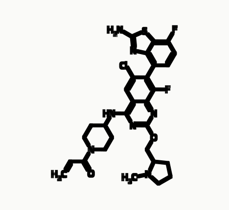 C=CC(=O)N1CCC(Nc2nc(OCC3CCCN3C)nc3c(F)c(-c4ccc(F)c5sc(N)nc45)c(Cl)cc23)CC1